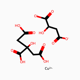 O=C(O)CC(O)(CC(=O)O)C(=O)O.O=C([O-])CC(O)C(=O)[O-].[Cu+2]